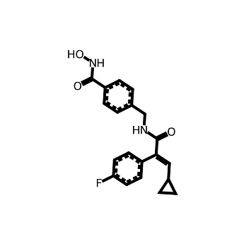 O=C(NCc1ccc(C(=O)NO)cc1)/C(=C/C1CC1)c1ccc(F)cc1